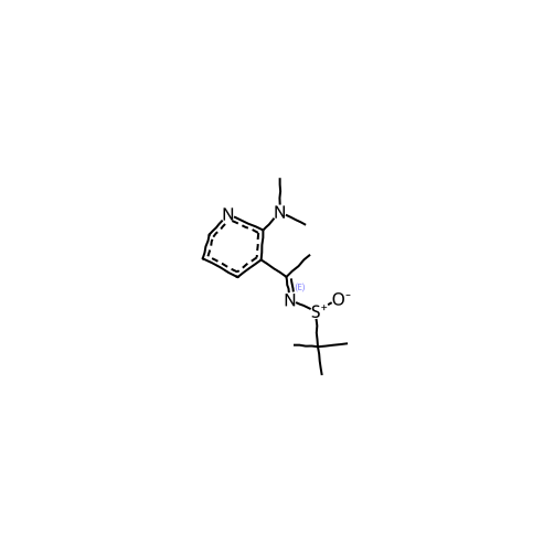 C/C(=N\[S+]([O-])C(C)(C)C)c1cccnc1N(C)C